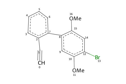 C#Cc1ccccc1-c1cc(OC)c(Br)cc1OC